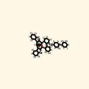 c1ccc(-c2ccc(-n3c4cccc(-c5cccc6c5sc5ccccc56)c4c4c(-c5cccc6c5sc5ccccc56)cccc43)cc2)cc1